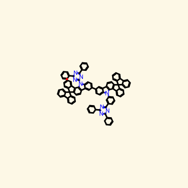 C1=CCCC(c2nc(-c3cccc(-n4c5ccc(-c6ccc7c(c6)c6ccc8c(c6n7-c6nc(-c7ccccc7)nc(-c7ccccc7)n6)-c6ccccc6C86c7ccccc7-c7ccccc76)cc5c5ccc6c(c54)-c4ccccc4C64c5ccccc5-c5ccccc54)c3)nc(C3C=CC=CC3)n2)=C1